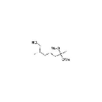 COC(C)(CCC[C@H](C)CO)OC